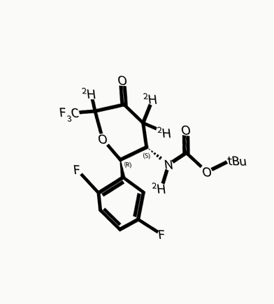 [2H]N(C(=O)OC(C)(C)C)[C@@H]1[C@@H](c2cc(F)ccc2F)OC([2H])(C(F)(F)F)C(=O)C1([2H])[2H]